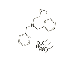 CC(=O)O.CC(=O)O.CC(=O)O.NCCN(Cc1ccccc1)Cc1ccccc1